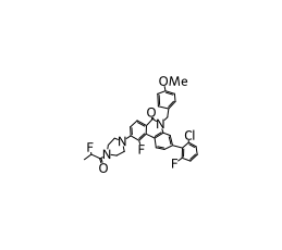 COc1ccc(Cn2c(=O)c3ccc(N4CCN(C(=O)C(C)F)CC4)c(F)c3c3ccc(-c4c(F)cccc4Cl)cc32)cc1